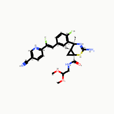 COC(CNC(=O)[C@]12C[C@H]1[C@@](C)(c1cc(/C=C(\F)c3ccc(C#N)cn3)ccc1F)N=C(N)S2)OC